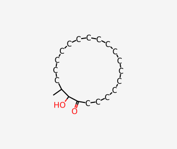 CC1CCCCCCCCCCCCCCCCCC(=O)C1O